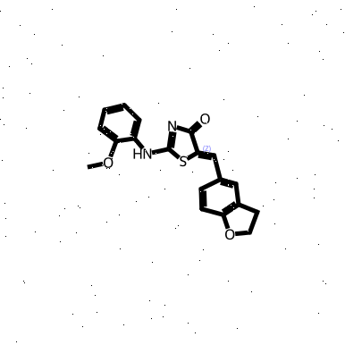 COc1ccccc1NC1=NC(=O)/C(=C/c2ccc3c(c2)CCO3)S1